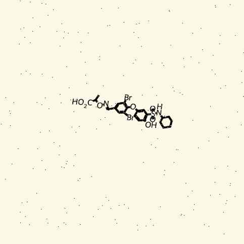 CC(ON=Cc1cc(Br)c(Oc2ccc(O)c(S(=O)(=O)NC3CCCCC3)c2)c(Br)c1)C(=O)O